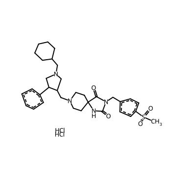 CS(=O)(=O)c1ccc(CN2C(=O)NC3(CCN(CC4CN(CC5CCCCC5)CC4c4ccccc4)CC3)C2=O)cc1.Cl.Cl